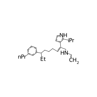 C=CNC/C(=C/CCCC(CC)c1cccc(CCC)c1)c1cc[nH]c1C(C)C